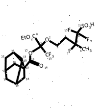 CCOC(=O)C(OCCC(C)(F)C(F)(F)S(=O)(=O)O)(OC(=O)C12CC3CC(CC(C3)C1)C2)C(F)(F)F